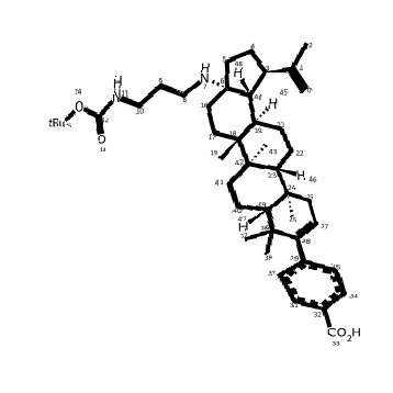 C=C(C)[C@@H]1CC[C@]2(NCCCNC(=O)OC(C)(C)C)CC[C@]3(C)[C@H](CC[C@@H]4[C@@]5(C)CC=C(c6ccc(C(=O)O)cc6)C(C)(C)[C@@H]5CC[C@]43C)[C@@H]12